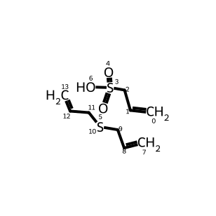 C=CCS(=O)(=O)O.C=CCSCC=C